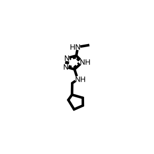 CNc1nnc(NCC2CCCC2)[nH]1